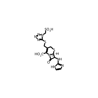 O=C(O)C1=C(CSc2nnnn2CS(=O)(=O)O)CS[C@H]2C(Nc3ncc[nH]3)C(=O)N12